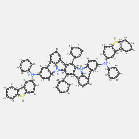 c1ccc(-c2c3c4cccc5c6cc(N(c7ccccc7)c7ccc8sc9ccccc9c8c7)ccc6n(c3c(-c3ccccc3)c3c6cccc7c8cc(N(c9ccccc9)c9ccc%10sc%11ccccc%11c%10c9)ccc8n(c23)c76)c54)cc1